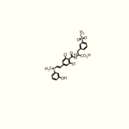 CP(/C=C/c1cc(Cl)c(C(=O)NC(Cc2cccc(S(C)(=O)=O)c2)C(=O)O)c(Cl)c1)c1cccc(O)c1